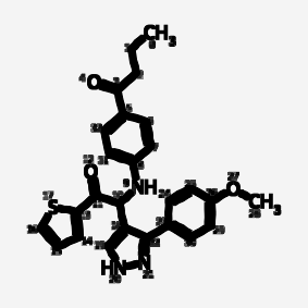 CCCC(=O)c1ccc(NC(C(=O)c2cccs2)c2c[nH]nc2-c2ccc(OC)cc2)cc1